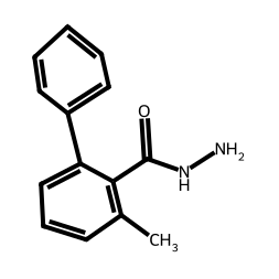 Cc1cccc(-c2ccccc2)c1C(=O)NN